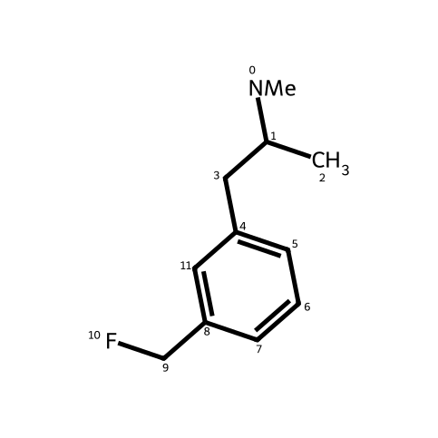 CNC(C)Cc1cccc(CF)c1